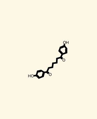 O=C(CCCCCC(=O)c1ccc(O)cc1)c1ccc(O)cc1